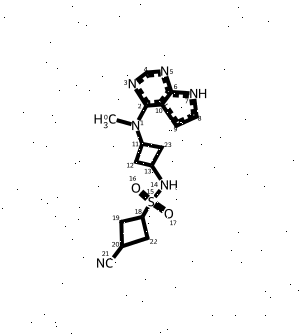 CN(c1ncnc2[nH]ccc12)C1CC(NS(=O)(=O)C2CC(C#N)C2)C1